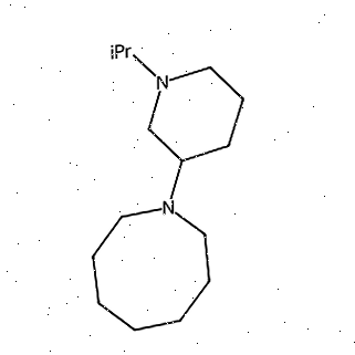 CC(C)N1CCCC(N2CCCCCCC2)C1